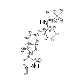 C=C1CCC(N2Cc3cc(C[C@H]4CCCC[C@@H]4N[C@H](C)CC(C)(C)C)ccc3C2=O)C(=O)N1